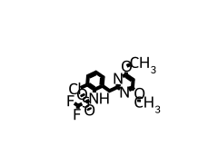 COc1cc(OC)nc(Cc2cccc(Cl)c2NS(=O)(=O)C(F)F)n1